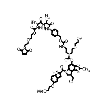 COCCOc1ccc2[nH]c(C(=O)N3CC(CCl)c4c3cc(OC(=O)N(CCNC(=O)OCc3ccc(NC(=O)[C@H](C)NC(=O)[C@@H](NC(=O)OCCOCCN5C(=O)C=CC5=O)C(C)C)cc3)CCOCCO)c3oc(C)nc43)cc2c1